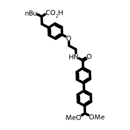 CCCCC(Cc1ccc(OCCNC(=O)c2ccc(-c3ccc(C(OC)OC)cc3)cc2)cc1)C(=O)O